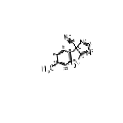 CC1=NC=NC1(C#N)c1ccc(C)cc1